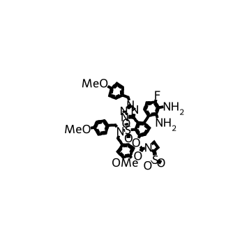 COc1ccc(CN(Cc2ccc(OC)cc2)S(=O)(=O)c2c(OC(=O)N3CCC3=S(=O)=O)ccc(-c3ccc(F)c(N)c3N)c2-c2nnn(Cc3ccc(OC)cc3)n2)cc1